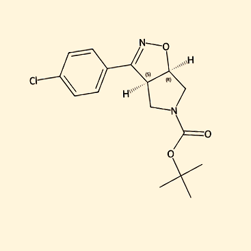 CC(C)(C)OC(=O)N1C[C@@H]2ON=C(c3ccc(Cl)cc3)[C@@H]2C1